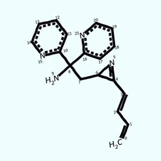 C=CC=CC1=NC1CC(N)(c1ccccn1)c1ccccn1